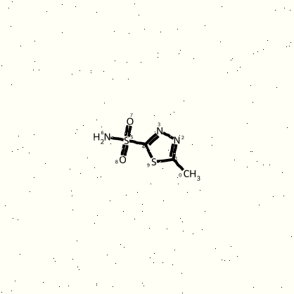 Cc1nnc(S(N)(=O)=O)s1